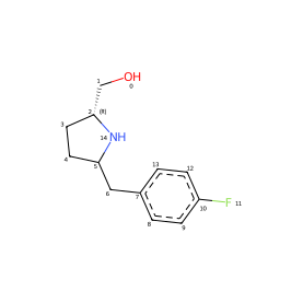 OC[C@H]1CCC(Cc2ccc(F)cc2)N1